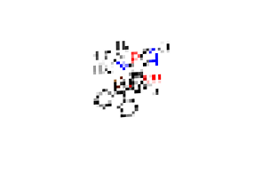 Cn1ccc(C(O)C2([SiH](C)C)C(=O)N(C(C)(C)C)C2SC(c2ccccc2)(c2ccccc2)c2ccccc2)n1